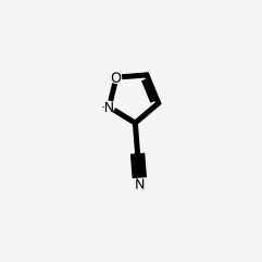 N#CC1C=CO[N]1